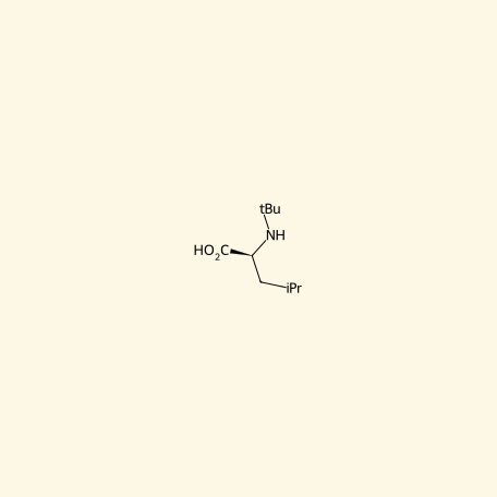 CC(C)C[C@H](NC(C)(C)C)C(=O)O